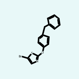 Brc1cnc(Oc2ccc(Cc3ccccc3)cc2)s1